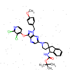 COc1ccc(Cn2nc(Oc3ccnc(Cl)c3Cl)c3ncc(N4CCC5(CC4)Cc4ccccc4[C@H]5NC(=O)OC(C)(C)C)nc32)cc1